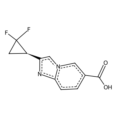 O=C(O)c1ccc2nc([C@H]3CC3(F)F)cn2c1